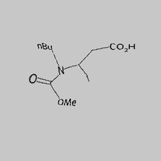 CCCCN(C(=O)OC)C(C)CC(=O)O